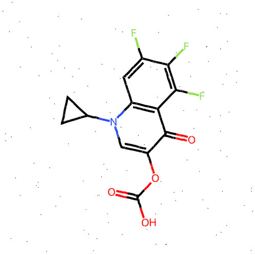 O=C(O)Oc1cn(C2CC2)c2cc(F)c(F)c(F)c2c1=O